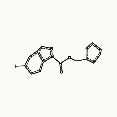 O=C(OCc1ccccc1)n1ncc2cc(I)ccc21